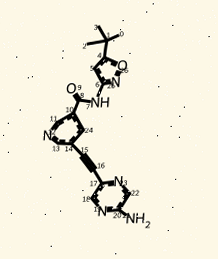 CC(C)(C)c1cc(NC(=O)c2cncc(C#Cc3cnc(N)cn3)c2)no1